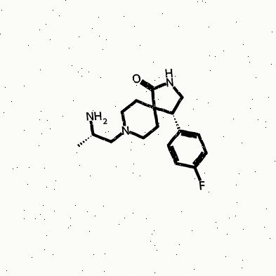 C[C@H](N)CN1CCC2(CC1)C(=O)NC[C@@H]2c1ccc(F)cc1